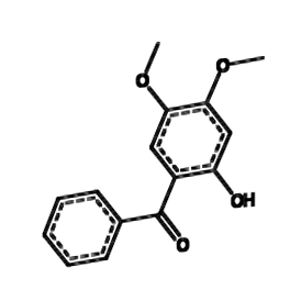 COc1cc(O)c(C(=O)c2ccccc2)cc1OC